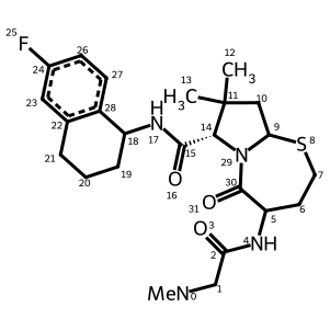 CNCC(=O)NC1CCSC2CC(C)(C)[C@@H](C(=O)NC3CCCc4cc(F)ccc43)N2C1=O